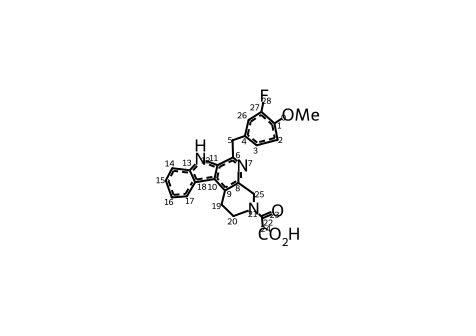 COc1ccc(Cc2nc3c(c4c2[nH]c2ccccc24)CCN(C(=O)C(=O)O)C3)cc1F